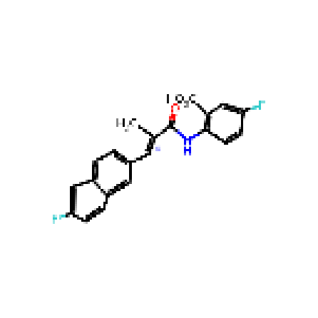 C/C(=C\c1ccc2cc(F)ccc2c1)C(=O)Nc1ccc(F)cc1C(=O)O